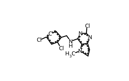 Cn1ccc2nc(Cl)nc(NCc3ccc(Cl)cc3Cl)c21